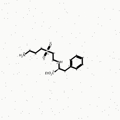 CCOC(=O)[C@H](Cc1ccccc1)NCCS(=O)(=O)CCCN